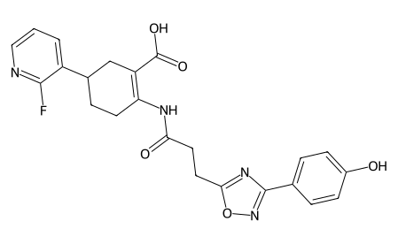 O=C(CCc1nc(-c2ccc(O)cc2)no1)NC1=C(C(=O)O)CC(c2cccnc2F)CC1